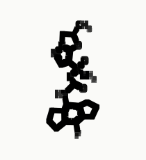 C[C@@H]1Cn2ncc(S(N)(=O)=NC(=O)Nc3c4c(c(F)c5c3CCC5)CCC4)c2O1